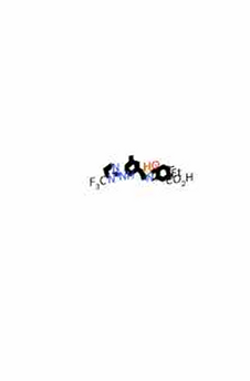 CC[C@@]1(C(=O)O)C[C@@H](C)[C@@](O)(c2ncc(-c3cc(C)cc(Nc4nccc(C(F)(F)F)n4)c3)s2)C[C@@H]1C